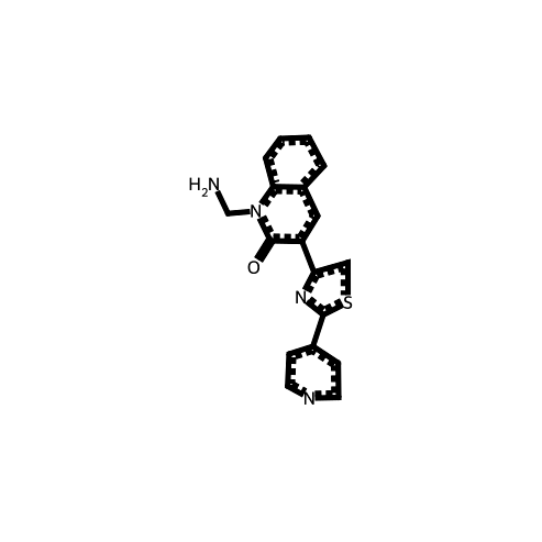 NCn1c(=O)c(-c2csc(-c3ccncc3)n2)cc2ccccc21